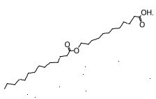 CCCCCCCCCCCCCC(=O)OCCCCCCCCCCCC(=O)O